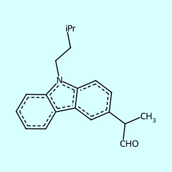 CC(C)CCn1c2ccccc2c2cc(C(C)C=O)ccc21